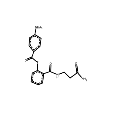 CC(=O)Nc1ccc(C(=O)Sc2ccccc2C(=O)NCCC(N)=O)cc1